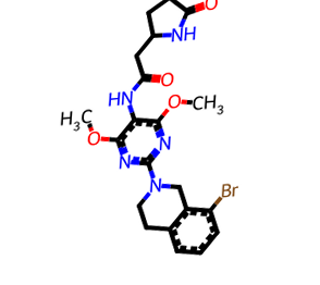 COc1nc(N2CCc3cccc(Br)c3C2)nc(OC)c1NC(=O)CC1CCC(=O)N1